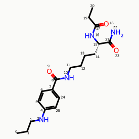 CCCNc1ccc(C(=O)NCCCC[C@H](NC(=O)CC)C(N)=O)cc1